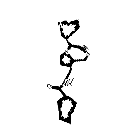 O=C(Nc1ccn2c1CSC2c1cccnc1)c1ccccc1